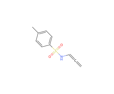 C=C=CNS(=O)(=O)c1ccc(C)cc1